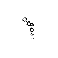 CC1OC(c2ccc(-c3n[nH]c4nc(-c5ccccc5)ccc34)cc2)O1